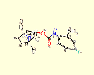 Bc1cc(F)ccc1NC(=O)O[C@H]1C[C@H]2CC[C@@H](C1)N2C